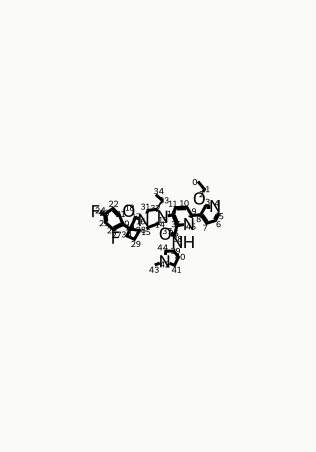 CCOc1ncccc1-c1ccc(N2CCN(C(=O)C3(c4ccc(F)cc4F)CCC3)C[C@H]2CC)c(C(=O)N[C@@H]2CCN(C)C2)n1